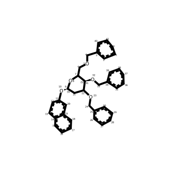 c1ccc(COCC2O[C@@H](Oc3ccc4ccccc4c3)CC(OCc3ccccc3)[C@@H]2OCc2ccccc2)cc1